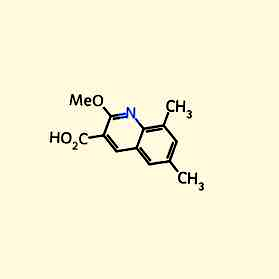 COc1nc2c(C)cc(C)cc2cc1C(=O)O